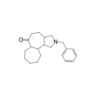 O=C1CCC2CN(Cc3ccccc3)CC2C2CCCCCC12